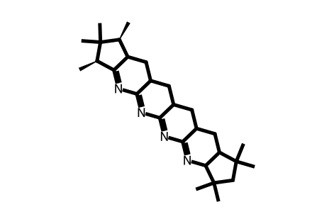 C[C@@H]1C2=NC3=NC4=NC5=NC6C(CC5CC4CC3CC2[C@H](C)C1(C)C)C(C)(C)CC6(C)C